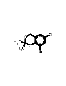 CC1(C)OCc2cc(Cl)cc(Br)c2O1